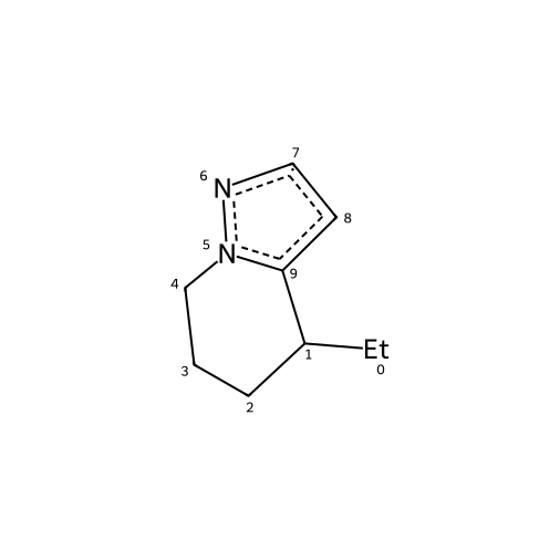 CCC1CCCn2n[c]cc21